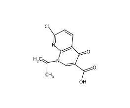 C=C(C)n1cc(C(=O)O)c(=O)c2ccc(Cl)nc21